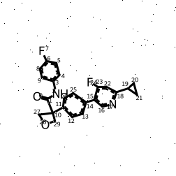 O=C(Nc1ccc(F)cc1)C1(c2ccc(-c3cnc(C4CC4)cc3F)cc2)COC1